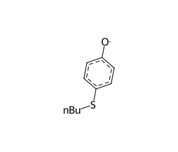 CCCCSc1ccc([O])cc1